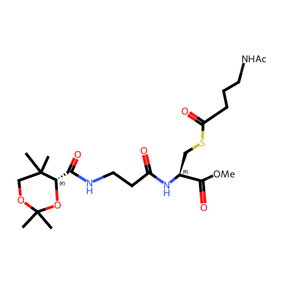 COC(=O)[C@H](CSC(=O)CCCNC(C)=O)NC(=O)CCNC(=O)[C@@H]1OC(C)(C)OCC1(C)C